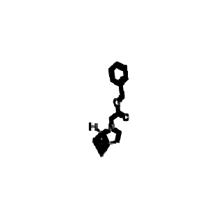 O=C(CN1CC[C@]23C=C2[C@@H]13)OCc1ccccc1